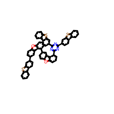 c1cc(-c2ccc3oc4cccc(-c5nc(-c6ccc7c(c6)sc6ccccc67)nc(-c6ccc7c(c6)sc6ccccc67)n5)c4c3c2)c2c(c1)oc1ccc(-c3ccc4c(c3)sc3ccccc34)cc12